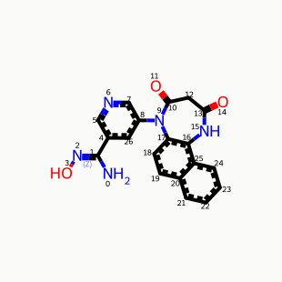 N/C(=N\O)c1cncc(N2C(=O)CC(=O)Nc3c2ccc2ccccc32)c1